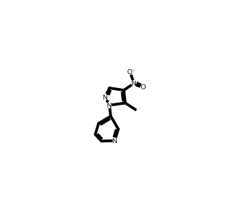 Cc1c([N+](=O)[O-])cnn1-c1cccnc1